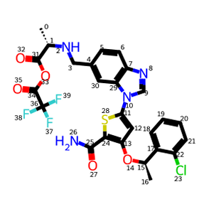 C[C@H](NCc1ccc2ncn(-c3cc(O[C@H](C)c4ccccc4Cl)c(C(N)=O)s3)c2c1)C(=O)OC(=O)C(F)(F)F